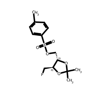 Cc1ccc(S(=O)(=O)OC[C@@H]2OC(C)(C)O[C@H]2CF)cc1